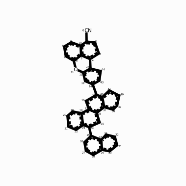 N#Cc1ccc2c3c(cccc13)Oc1cc(-c3cc4c5ccccc5c(-c5cccc6ccccc56)cc4c4ccccc34)ccc1-2